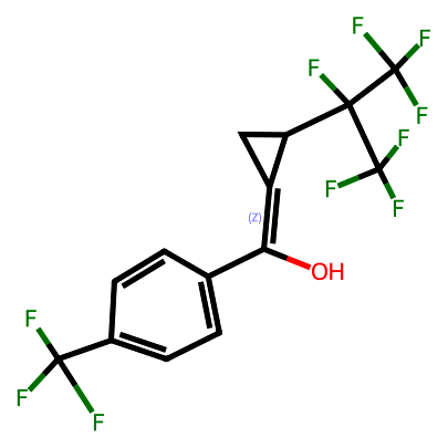 O/C(=C1/CC1C(F)(C(F)(F)F)C(F)(F)F)c1ccc(C(F)(F)F)cc1